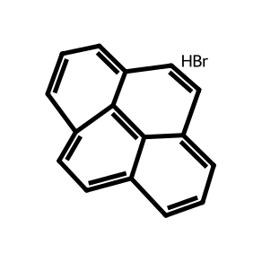 Br.c1cc2ccc3cccc4ccc(c1)c2c34